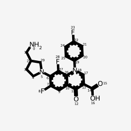 NCC1CCN(c2c(F)cc3c(=O)c(C(=O)O)cn(-c4ccc(F)cc4)c3c2F)C1